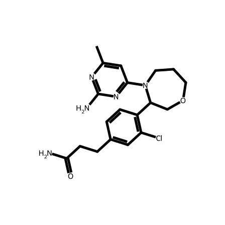 Cc1cc(N2CCCOCC2c2ccc(CCC(N)=O)cc2Cl)nc(N)n1